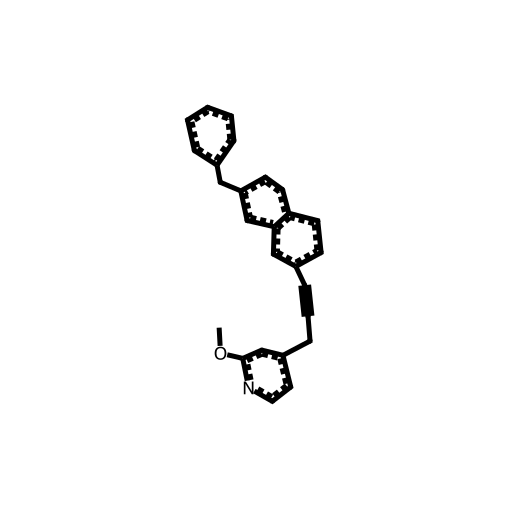 COc1cc(CC#Cc2ccc3ccc(Cc4ccccc4)cc3c2)ccn1